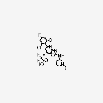 CCN1CCCC(Nc2nc3nc(-c4c(O)cc(F)cc4Cl)ccc3o2)C1.O=C(O)C(F)(F)F